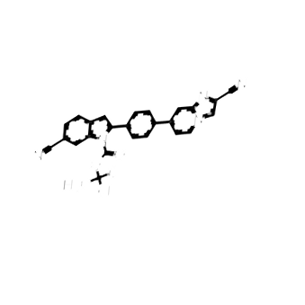 CC(C)(C)OC(=O)n1c(-c2ccc(-c3ccn4cc(C#N)nc4c3)cc2)cc2ccc(C#N)cc21